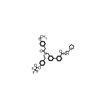 COc1ccc(CC(=O)N(CCc2ccc(OC(=O)C(F)(F)F)cc2)Cc2cccc(-c3cccc(C(=O)NCCN4CCCC4)c3)c2)cc1